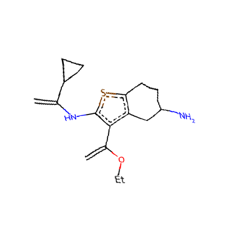 C=C(OCC)c1c(NC(=C)C2CC2)sc2c1CC(N)CC2